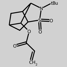 C=CC(=O)OC1C2CC3C1N(C(C)(C)C)S(=O)(=O)C3C2